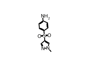 Cn1cc(S(=O)(=O)c2ccc(N)cc2)cn1